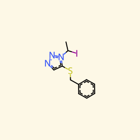 CC(I)n1nncc1SCc1ccccc1